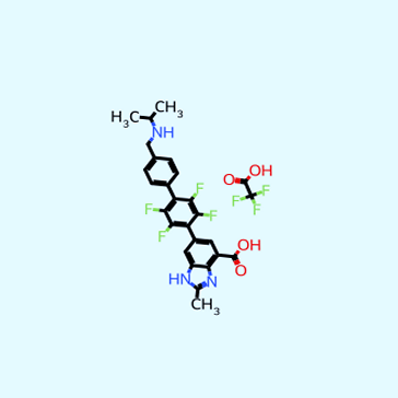 Cc1nc2c(C(=O)O)cc(-c3c(F)c(F)c(-c4ccc(CNC(C)C)cc4)c(F)c3F)cc2[nH]1.O=C(O)C(F)(F)F